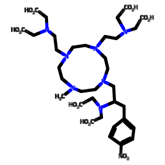 CN1CCN(CCN(CC(=O)O)CC(=O)O)CCN(CCN(CC(=O)O)CC(=O)O)CCN(CC(Cc2ccc([N+](=O)[O-])cc2)N(CC(=O)O)CC(=O)O)CC1